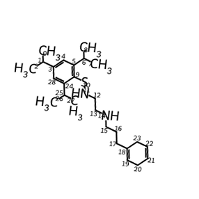 CC(C)c1cc(C(C)C)c(SNCCNCCCC2=CCC=CC2)c(C(C)C)c1